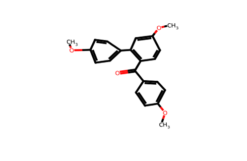 COc1ccc(C(=O)c2ccc(OC)cc2-c2ccc(OC)cc2)cc1